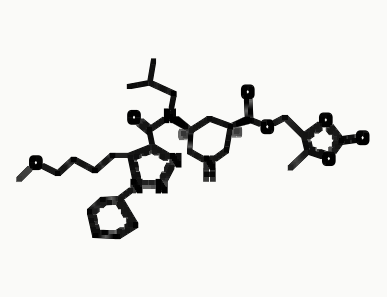 COCCCCc1c(C(=O)N(CC(C)C)[C@@H]2CNC[C@H](C(=O)OCc3oc(=O)oc3C)C2)nnn1-c1ccccc1